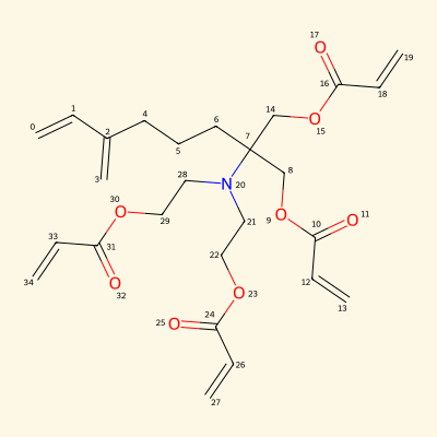 C=CC(=C)CCCC(COC(=O)C=C)(COC(=O)C=C)N(CCOC(=O)C=C)CCOC(=O)C=C